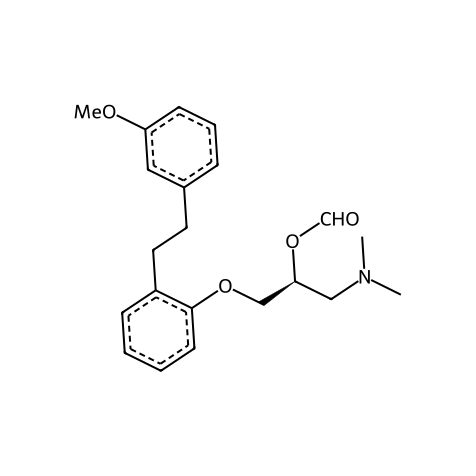 COc1cccc(CCc2ccccc2OC[C@H](CN(C)C)OC=O)c1